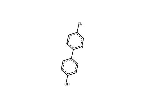 N#Cc1cnc(-c2ccc(O)cc2)nc1